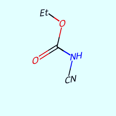 CCOC(=O)NC#N